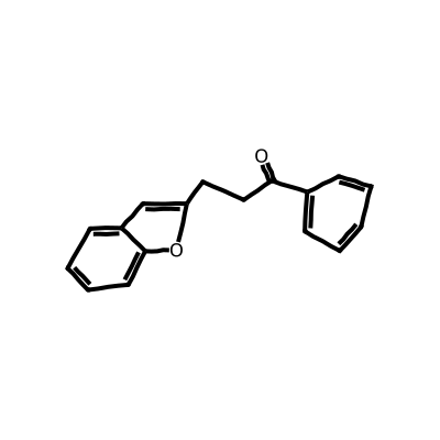 O=C(CCc1cc2ccccc2o1)c1ccccc1